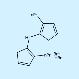 Br.Br.CCCC1=[C]([Hf][C]2=C(CCC)C=CC2)CC=C1